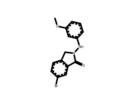 COc1cccc(NN2Cc3ccc(Br)cc3C2=O)c1